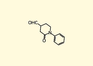 O=CC1CCN(c2ccccc2)C(=O)C1